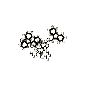 CC(C)(C)OC(=O)[C@H](CC(=O)OC(c1ccccc1)(c1ccccc1)c1ccccc1Cl)NC(=O)OCC1c2ccccc2-c2ccccc21